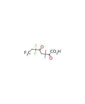 CC(C)(CC(=O)C(F)(F)CC(F)(F)F)C(=O)C(=O)O